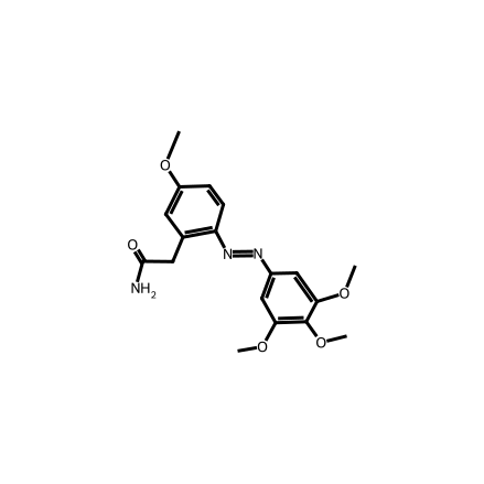 COc1ccc(/N=N/c2cc(OC)c(OC)c(OC)c2)c(CC(N)=O)c1